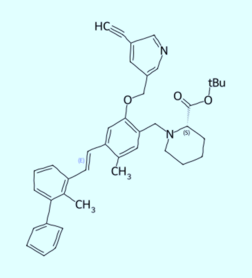 C#Cc1cncc(COc2cc(/C=C/c3cccc(-c4ccccc4)c3C)c(C)cc2CN2CCCC[C@H]2C(=O)OC(C)(C)C)c1